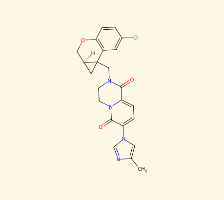 Cc1cn(-c2ccc3n(c2=O)CCN(CC24C[C@H]2COc2ccc(Cl)cc24)C3=O)cn1